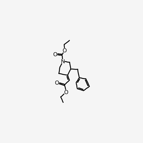 CCOC(=O)C=C1CCN(C(=O)OCC)CC1Cc1ccccc1